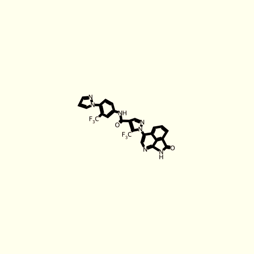 O=C(Nc1ccc(-n2cccn2)c(C(F)(F)F)c1)c1cnn(-c2cnc3c4c(cccc24)C(=O)N3)c1C(F)(F)F